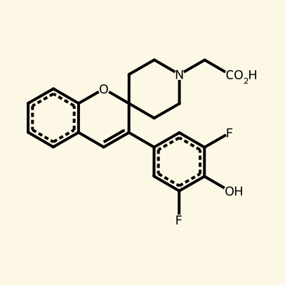 O=C(O)CN1CCC2(CC1)Oc1ccccc1C=C2c1cc(F)c(O)c(F)c1